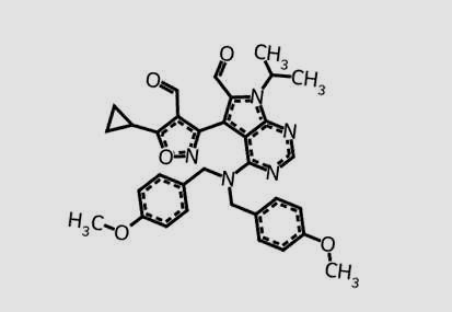 COc1ccc(CN(Cc2ccc(OC)cc2)c2ncnc3c2c(-c2noc(C4CC4)c2C=O)c(C=O)n3C(C)C)cc1